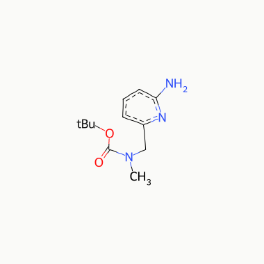 CN(Cc1cccc(N)n1)C(=O)OC(C)(C)C